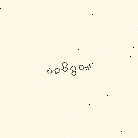 c1ccc2c(-c3ccc(-c4ccc(-c5cncs5)nc4)c4ccccc34)ccc(-c3ccc(-c4cncs4)nc3)c2c1